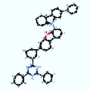 c1ccc(-c2ccc3c4ccccc4n(-c4cccc5c4oc4cc(-c6cccc(-c7nc(-c8ccccc8)nc(-c8ccccc8)n7)c6)ccc45)c3c2)cc1